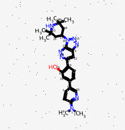 CN(C)c1ccc(-c2ccc(-c3cc4nnn(C5CC(C)(C)NC(C)(C)C5)c4nn3)c(O)c2)cn1